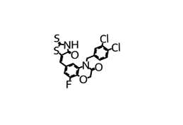 O=C1NC(=S)SC1=Cc1cc(F)c2c(c1)N(Cc1ccc(Cl)c(Cl)c1)C(=O)CO2